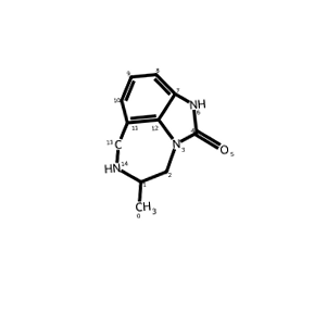 CC1Cn2c(=O)[nH]c3cccc(c32)CN1